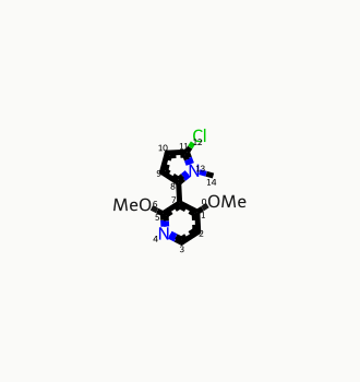 COc1ccnc(OC)c1-c1ccc(Cl)n1C